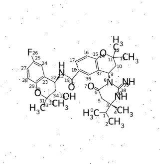 CC(C)[C@]1(C)CC(=O)N([C@@H]2CC(C)(C)Oc3ccc(C(=O)N[C@@H]4c5cc(F)ccc5OC(C)(C)[C@H]4O)cc32)C(=N)N1